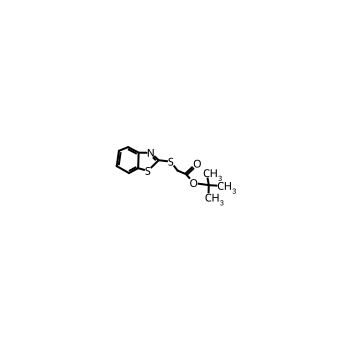 CC(C)(C)OC(=O)CSc1nc2ccccc2s1